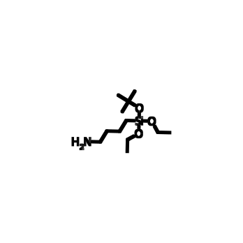 CCO[Si](CCCCN)(OCC)OC(C)(C)C